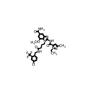 CCn1nc(C)cc1C(=O)Nc1nc2cc(C(N)=O)cc(OC)c2n1CCCC(=O)NCc1ccc(Cl)cc1C(F)(F)F